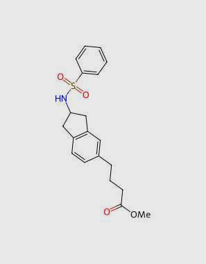 COC(=O)CCCc1ccc2c(c1)CC(NS(=O)(=O)c1ccccc1)C2